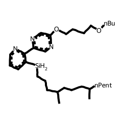 CCCCCC(C)CCCC(C)CCC[SiH2]c1cccnc1-c1cnc(OCCCCOCCCC)cn1